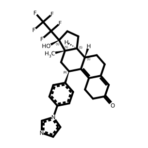 C[C@]12C[C@H](c3ccc(-n4ccnc4)cc3)C3=C4CCC(=O)C=C4CC[C@H]3[C@@H]1CC[C@@]2(O)C(F)(F)C(F)(F)F